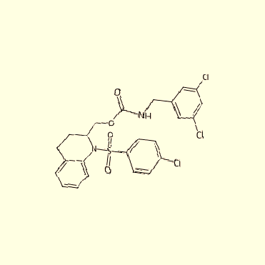 O=C(NCc1cc(Cl)cc(Cl)c1)OCC1CCc2ccccc2N1S(=O)(=O)c1ccc(Cl)cc1